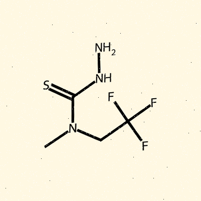 CN(CC(F)(F)F)C(=S)NN